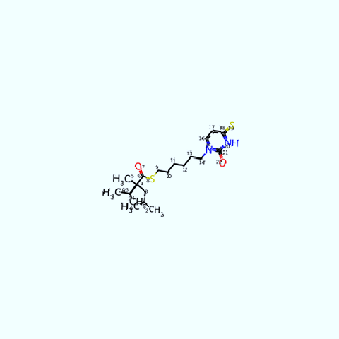 CC(C)CC(C)(C(=O)SCCCCCCn1ccc(=S)[nH]c1=O)C(C)C